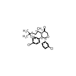 C[C@@H](CSC(C)(C)C)N1C(=O)CO[C@H](c2cccc(Cl)c2)[C@H]1c1ccc(Cl)cc1